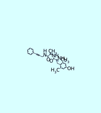 Cc1cc(O)cc(C)c1C[C@@H](N)C(=O)N[C@H](C)C(=O)NCC#Cc1ccccc1